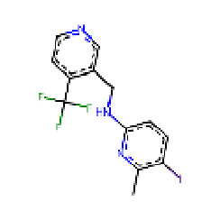 Cc1nc(NCc2cnccc2C(F)(F)F)ccc1I